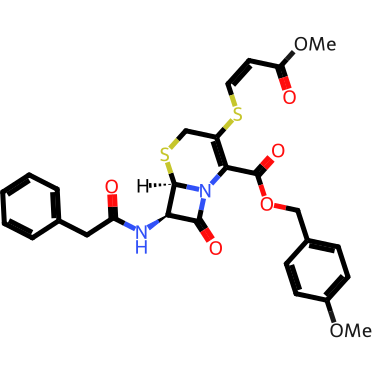 COC(=O)/C=C\SC1=C(C(=O)OCc2ccc(OC)cc2)N2C(=O)[C@@H](NC(=O)Cc3ccccc3)[C@H]2SC1